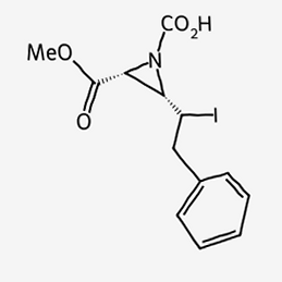 COC(=O)[C@H]1[C@@H](C(I)Cc2ccccc2)N1C(=O)O